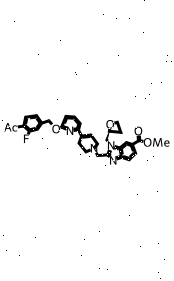 COC(=O)c1ccc2nc(CN3CC=C(c4cccc(OCc5ccc(C(C)=O)c(F)c5)n4)CC3)n(C[C@@H]3CCO3)c2c1